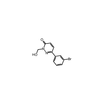 O=c1ccc(-c2cccc(Br)c2)nn1CO